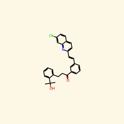 CC(C)(O)c1ccccc1CCC(=O)c1cccc(/C=C/c2ccc3ccc(Cl)cc3n2)c1